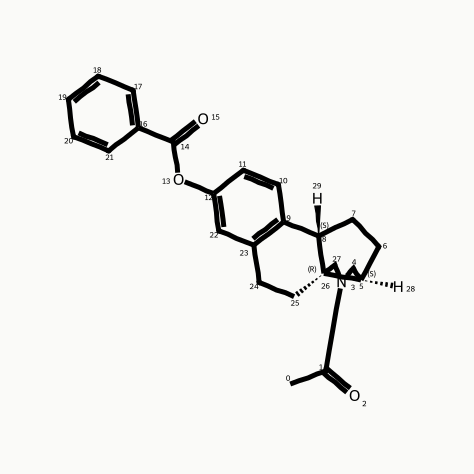 CC(=O)N1C[C@H]2CC[C@H]3c4ccc(OC(=O)c5ccccc5)cc4CC[C@]23C1